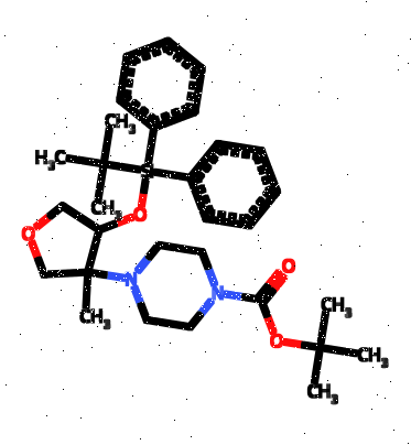 CC(C)(C)OC(=O)N1CCN(C2(C)COCC2O[Si](c2ccccc2)(c2ccccc2)C(C)(C)C)CC1